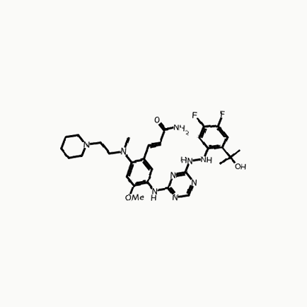 COc1cc(N(C)CCN2CCCCC2)c(C=CC(N)=O)cc1Nc1ncnc(NNc2cc(F)c(F)cc2C(C)(C)O)n1